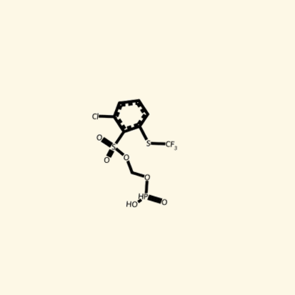 O=[PH](O)OCOS(=O)(=O)c1c(Cl)cccc1SC(F)(F)F